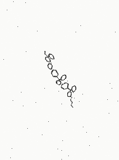 C=CC(=O)OCOc1ccc(C(=O)Oc2ccc(C(=O)OCCCCC)cc2)cc1